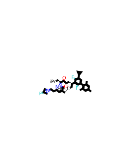 Cc1cc(C)c(-c2cc(C3CC3)c(F)c([C@@H](CCC(=O)[C@H](CC(C)C)n3nc(CCN4CC(F)C4)cc(C)c3=O)CC(=O)O)c2F)c(C)c1